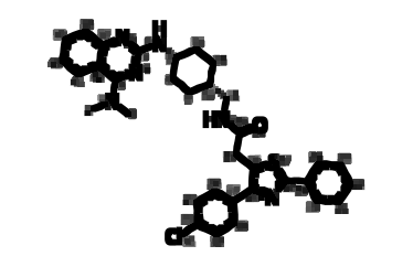 CN(C)c1nc(N[C@H]2CC[C@@H](CNC(=O)Cc3sc(-c4ccccc4)nc3-c3ccc(Cl)cc3)CC2)nc2ccccc12